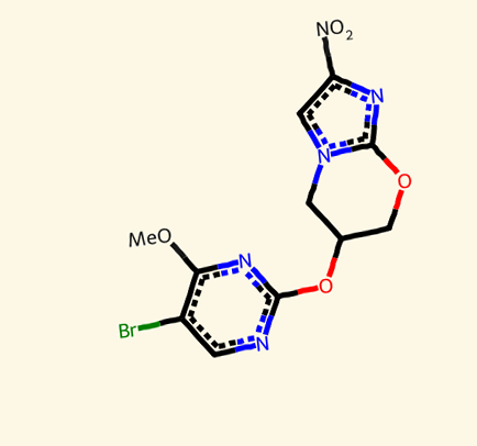 COc1nc(OC2COc3nc([N+](=O)[O-])cn3C2)ncc1Br